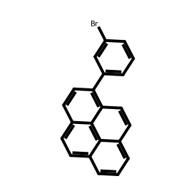 Brc1cccc(-c2ccc3ccc4cccc5ccc2c3c45)c1